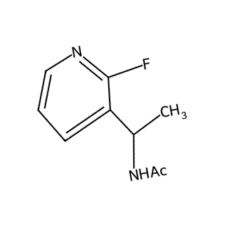 CC(=O)NC(C)c1cccnc1F